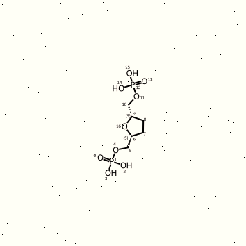 O=P(O)(O)OC[C@@H]1CC[C@@H](COP(=O)(O)O)O1